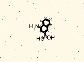 Nc1cc(B(O)O)cc2ccccc12